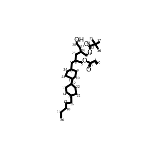 C=CC(=O)OCC(CC1CCC(C2CCC(CCCCC)CC2)CC1)CC(CCO)COC(=O)C(C)(C)C